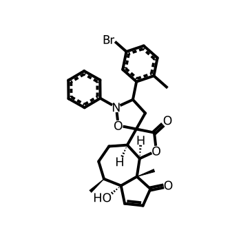 Cc1ccc(Br)cc1C1CC2(ON1c1ccccc1)C(=O)O[C@@H]1[C@H]2CC[C@H](C)[C@]2(O)C=CC(=O)[C@@]12C